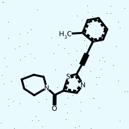 Cc1ccccc1C#Cc1ncc(C(=O)N2CCCCC2)s1